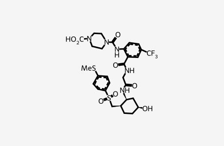 CSc1ccc(S(=O)(=O)C[C@@H]2CC[C@H](O)C[C@@H]2NC(=O)CNC(=O)c2cc(C(F)(F)F)ccc2NC(=O)N2CCN(C(=O)O)CC2)cc1